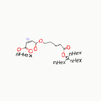 CCCCCCOC(=O)/C=C\C(=O)OCCCCC(=O)O[Si](CCCCCC)(CCCCCC)CCCCCC